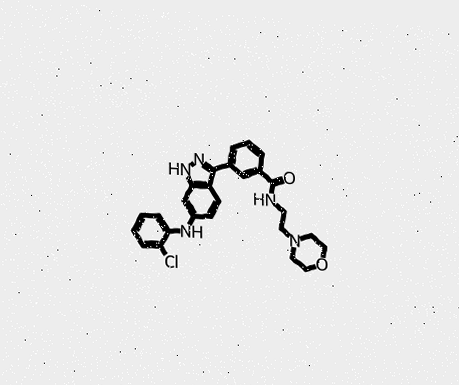 O=C(NCCN1CCOCC1)c1cccc(-c2n[nH]c3cc(Nc4ccccc4Cl)ccc23)c1